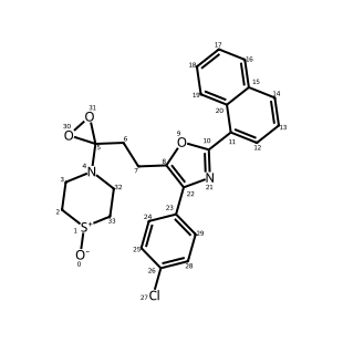 [O-][S+]1CCN(C2(CCc3oc(-c4cccc5ccccc45)nc3-c3ccc(Cl)cc3)OO2)CC1